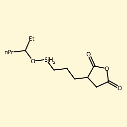 CCCC(CC)O[SiH2]CCCC1CC(=O)OC1=O